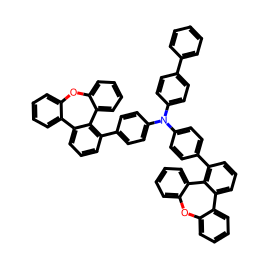 c1ccc(-c2ccc(N(c3ccc(-c4cccc5c4-c4ccccc4Oc4ccccc4-5)cc3)c3ccc(-c4cccc5c4-c4ccccc4Oc4ccccc4-5)cc3)cc2)cc1